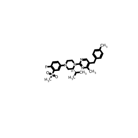 Cc1ccc(Cc2cnc(N3CCN(c4ccc(F)c(S(C)(=O)=O)c4)C[C@H]3C(C)C)nc2C)cc1